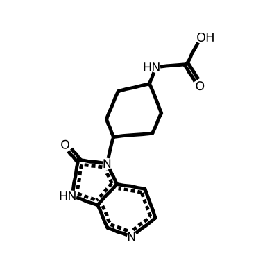 O=C(O)NC1CCC(n2c(=O)[nH]c3cnccc32)CC1